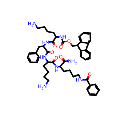 NCCCCC(NC(=O)OCC1c2ccccc2-c2ccccc21)C(=O)NC(Cc1ccccc1)C(=O)NC(CCCCN)C(=O)NC(CCCCNC(=O)c1ccccc1)C(N)=O